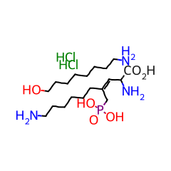 Cl.Cl.NCCCCCCC(=CC(N)C(=O)O)CP(=O)(O)O.NCCCCCCCCO